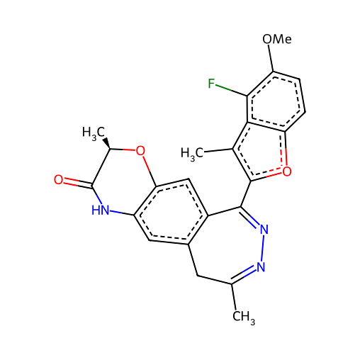 COc1ccc2oc(C3=NN=C(C)Cc4cc5c(cc43)O[C@H](C)C(=O)N5)c(C)c2c1F